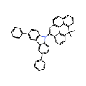 CC1(C)c2cccc3ccc4cc(-n5c6ccc(-c7ccccc7)cc6c6cc(-c7ccccc7)ccc65)c5cccc1c5c4c23